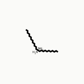 CCCCCCCCCCCCCC(N)(N)CCCCCCCCCCC